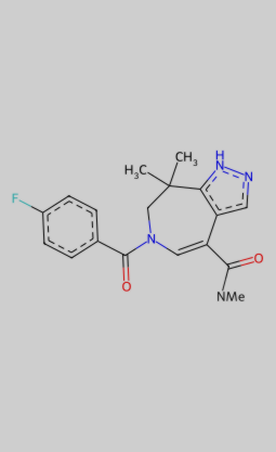 CNC(=O)C1=CN(C(=O)c2ccc(F)cc2)CC(C)(C)c2[nH]ncc21